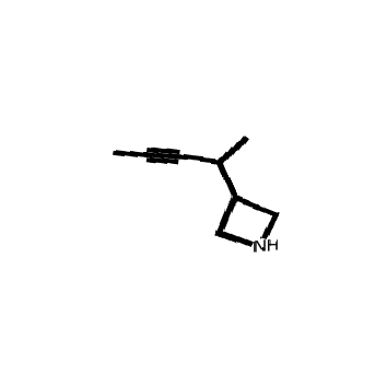 CC#CC(C)C1CNC1